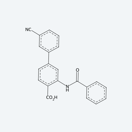 N#Cc1cccc(-c2ccc(C(=O)O)c(NC(=O)c3ccccc3)c2)c1